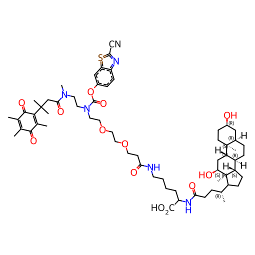 CC1=C(C)C(=O)C(C(C)(C)CC(=O)N(C)CCN(CCOCCOCCC(=O)NCCCCC(NC(=O)CC[C@@H](C)C2CC[C@H]3[C@@H]4CC[C@@H]5C[C@H](O)CC[C@]5(C)[C@H]4C[C@H](O)[C@]23C)C(=O)O)C(=O)Oc2ccc3nc(C#N)sc3c2)=C(C)C1=O